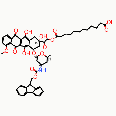 COc1cccc2c1C(=O)c1c(O)c3c(c(O)c1C2=O)C[C@@](O)(C(=O)COC(=O)CCCCCCCCCCC(=O)O)C[C@@H]3O[C@H]1C[C@H](NC(=O)OCC2c3ccccc3-c3ccccc32)C[C@H](C)O1